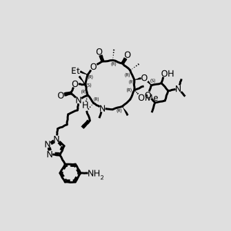 C=CC[C@@H]1[C@H]2N(CCCCn3cc(-c4cccc(N)c4)nn3)C(=O)O[C@]2(C)[C@@H](CC)OC(=O)[C@H](C)C(=O)[C@H](C)[C@@H](O[C@@H]2OC(C)CC(N(C)C)C2O)[C@](C)(OC)C[C@@H](C)CN1C